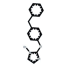 CCn1ccnc1Oc1ccc(Cc2ccccc2)cc1